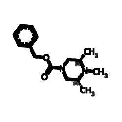 C[C@@H]1CN(C(=O)OCc2ccccc2)C[C@@H](C)N1C